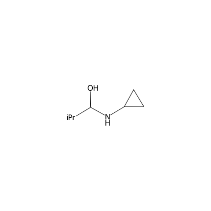 CC(C)C(O)NC1CC1